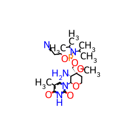 CO[C@@]1(COP(OCCC#N)N(C(C)C)C(C)C)CCO[C@@H](n2cc(C)c(=O)[nH]c2=O)[C@@H]1N